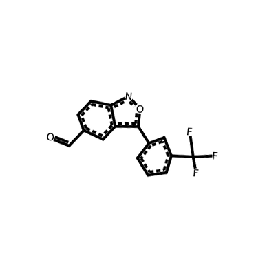 O=Cc1ccc2noc(-c3cccc(C(F)(F)F)c3)c2c1